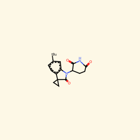 CC(C)(C)c1ccc2c(c1)N(C1CCC(=O)NC1=O)C(=O)C21CC1